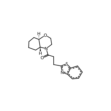 O=C(CCc1nc2ccccc2s1)N1CCO[C@@H]2CCCC[C@H]21